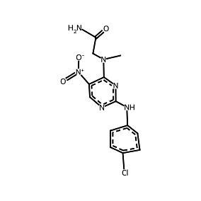 CN(CC(N)=O)c1nc(Nc2ccc(Cl)cc2)ncc1[N+](=O)[O-]